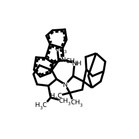 CC(C)C1CCCC(C(C)C)C1N1C(Nn2c3ccccc3c3ccccc32)C2(CC1(C)C)C1CC3CC(C1)CC2C3